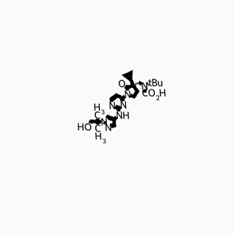 CC(C)(C)N(C[C@]1(C2CC2)CCN(c2ccnc(Nc3cnn(C(C)(C)CO)c3)n2)C1=O)C(=O)O